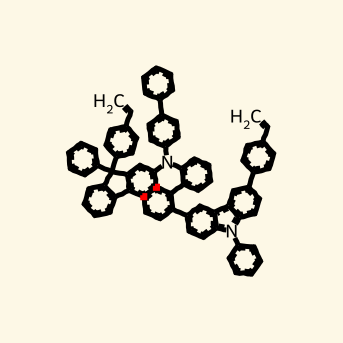 C=Cc1ccc(-c2ccc3c(c2)c2cc(-c4ccccc4-c4ccccc4N(c4ccc(-c5ccccc5)cc4)c4ccc5c(c4)C(c4ccccc4)(c4ccc(C=C)cc4)c4ccccc4-5)ccc2n3-c2ccccc2)cc1